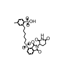 Cc1ccc(S(=O)(=O)O)c(CCCCCCS(=O)(=O)c2cccc3c2C(=O)N(C2CCC(=O)NC2=O)C3=O)c1